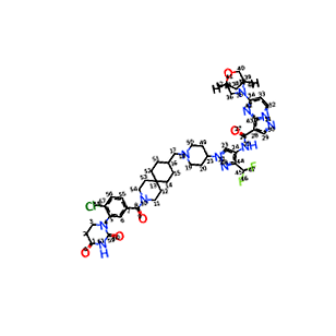 O=C1CCN(c2cc(C(=O)N3CCC4(CCC(CN5CCC(n6cc(NC(=O)c7cnn8ccc(N9C[C@H]%10C[C@@H]9CO%10)nc78)c(C(F)F)n6)CC5)CC4)CC3)ccc2Cl)C(=O)N1